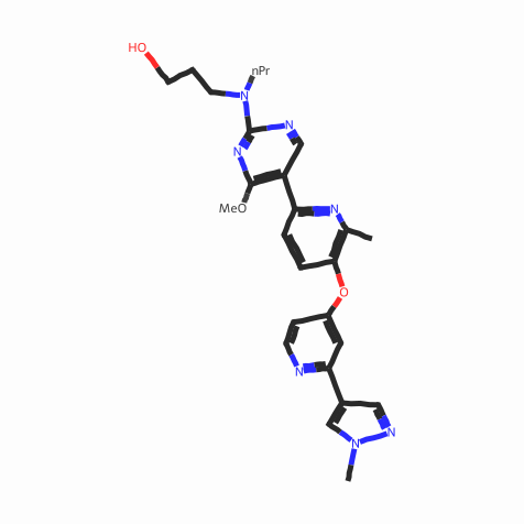 CCCN(CCCO)c1ncc(-c2ccc(Oc3ccnc(-c4cnn(C)c4)c3)c(C)n2)c(OC)n1